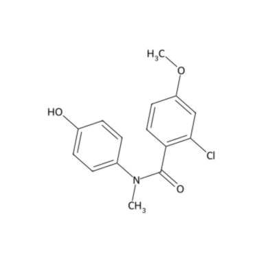 COc1ccc(C(=O)N(C)c2ccc(O)cc2)c(Cl)c1